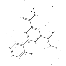 COC(=O)c1cc(C(=O)OC)cc(-c2ccccc2Cl)c1